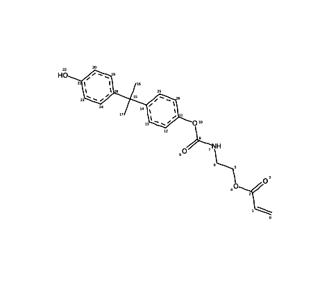 C=CC(=O)OCCNC(=O)Oc1ccc(C(C)(C)c2ccc(O)cc2)cc1